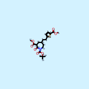 COC(=O)c1ccc(CCC2CCN(C(=O)OC(C)(C)C)C(=O)C(C(=O)OC)C2)s1